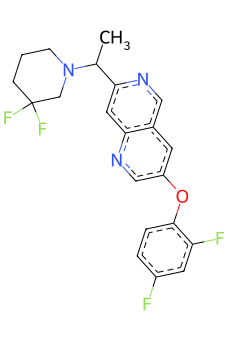 CC(c1cc2ncc(Oc3ccc(F)cc3F)cc2cn1)N1CCCC(F)(F)C1